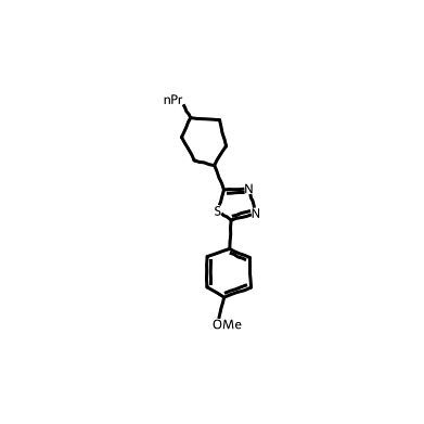 CCCC1CCC(c2nnc(-c3ccc(OC)cc3)s2)CC1